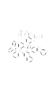 CC1(C)CCC(C)(C)c2cc(N3B4c5cccc6c5N(c5ccccc5C65c6ccccc6-c6ccccc65)c5cc6ccccc6c(c54)-c4cc5c(cc43)oc3ccccc35)ccc21